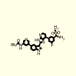 CC(C)(C)C(=O)Nc1cncc(-c2ccc3[nH]nc(-c4nc5c(-c6cc(F)cc(C(N)S(C)(=O)=O)c6)ccnc5[nH]4)c3c2)c1